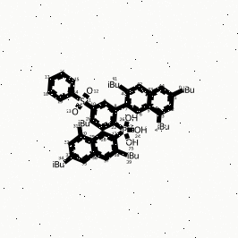 CCC(C)c1cc(C(C)CC)c2cc(-c3cc(S(=O)(=O)c4ccccc4)ccc3P(O)(O)(O)c3cc4c(C(C)CC)cc(C(C)CC)cc4cc3C(C)CC)c(C(C)CC)cc2c1